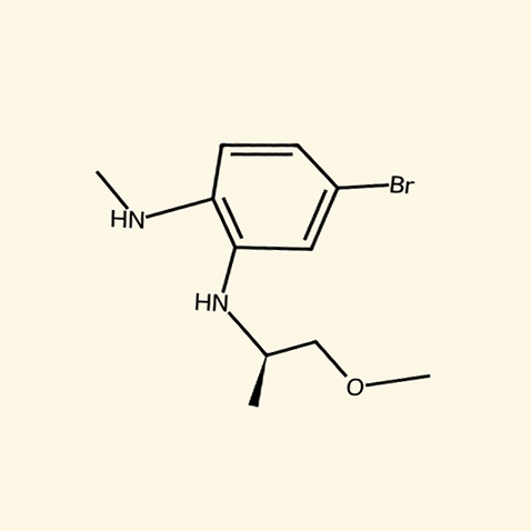 CNc1ccc(Br)cc1N[C@H](C)COC